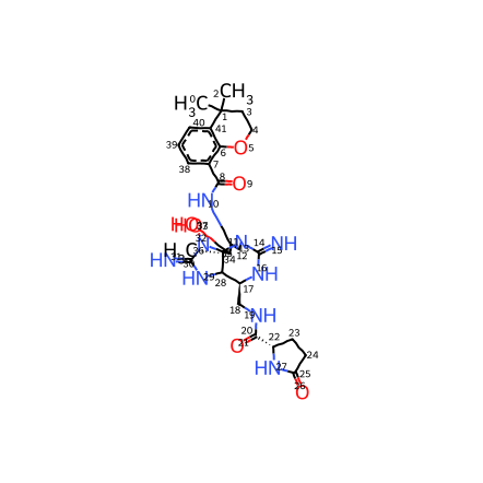 CC1(C)CCOc2c(C(=O)NC3CN4C(=N)N[C@@H](CNC(=O)[C@@H]5CCC(=O)N5)C5NC(=N)N(O)C54[C@@]3(C)O)cccc21